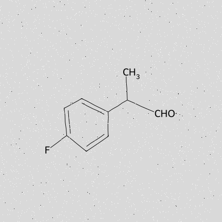 CC([C]=O)c1ccc(F)cc1